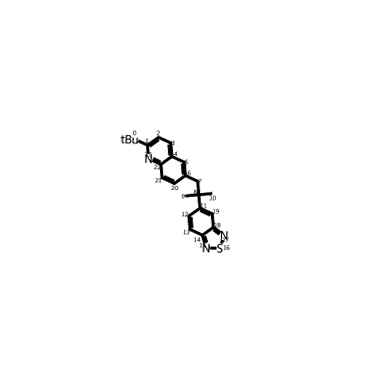 CC(C)(C)c1ccc2cc(CC(C)(C)c3ccc4nsnc4c3)ccc2n1